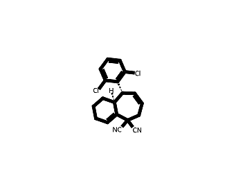 N#CC1(C#N)CC=C[C@@H](c2c(Cl)cccc2Cl)[C@@H]2CCCC=C21